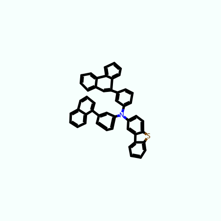 c1cc(-c2cccc3ccccc23)cc(N(c2cccc(-c3cc4ccccc4c4ccccc34)c2)c2ccc3sc4ccccc4c3c2)c1